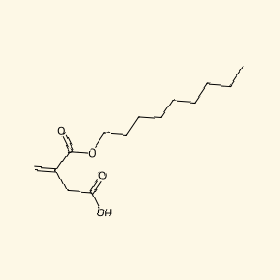 C=C(CC(=O)O)C(=O)OCCCCCCCCC